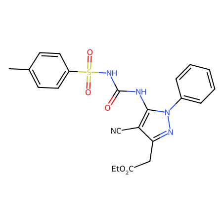 CCOC(=O)Cc1nn(-c2ccccc2)c(NC(=O)NS(=O)(=O)c2ccc(C)cc2)c1C#N